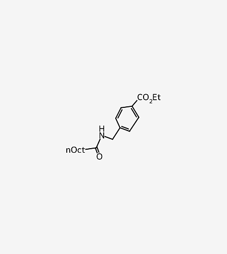 CCCCCCCCC(=O)NCc1ccc(C(=O)OCC)cc1